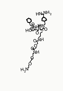 N=C(N)c1ccc(CNC(=O)[C@H](CCCCNC(=O)COCC(=O)NCCOCCOCCN)NC(=O)[C@@H](CO)NS(=O)(=O)Cc2ccccc2)cc1